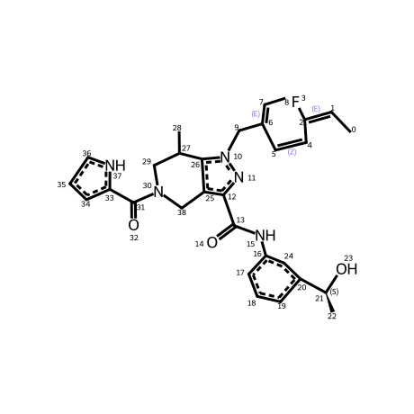 C\C=C(F)/C=C\C(=C/C)Cn1nc(C(=O)Nc2cccc([C@H](C)O)c2)c2c1C(C)CN(C(=O)c1ccc[nH]1)C2